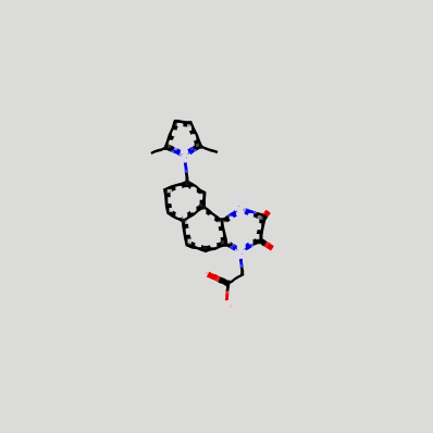 Cc1ccc(C)n1-c1ccc2ccc3c([nH]c(=O)c(=O)n3CC(=O)O)c2c1